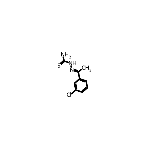 CC(=NNC(N)=S)c1cccc(Cl)c1